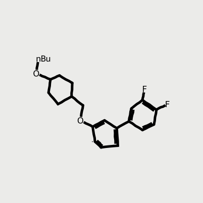 CCCCOC1CCC(COc2[c]ccc(-c3ccc(F)c(F)c3)c2)CC1